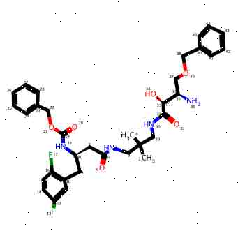 CC(C)(CNC(=O)C[C@@H](Cc1cc(F)ccc1F)NC(=O)OCc1ccccc1)CNC(=O)[C@@H](O)[C@H](N)COCc1ccccc1